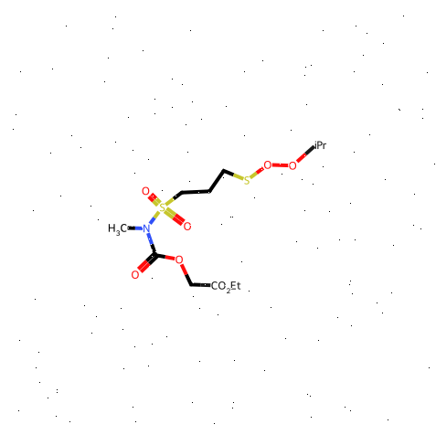 CCOC(=O)COC(=O)N(C)S(=O)(=O)CCCSOOC(C)C